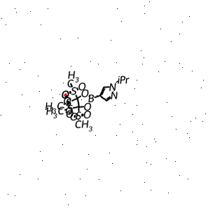 CC(C)n1cc(B2OC(S(C)(=O)=O)(S(C)(=O)=O)C(S(C)(=O)=O)(S(C)(=O)=O)O2)cn1